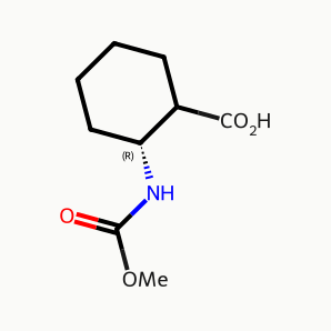 COC(=O)N[C@@H]1CCCCC1C(=O)O